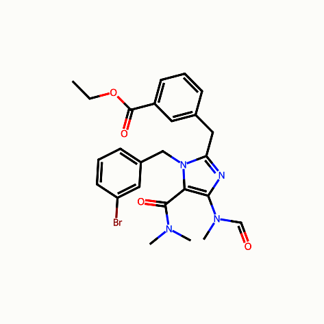 CCOC(=O)c1cccc(Cc2nc(N(C)C=O)c(C(=O)N(C)C)n2Cc2cccc(Br)c2)c1